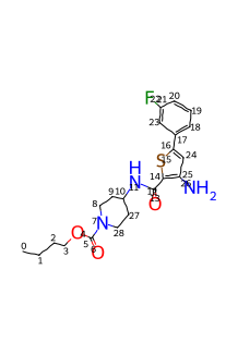 CCCCOC(=O)N1CCC(NC(=O)c2sc(-c3cccc(F)c3)cc2N)CC1